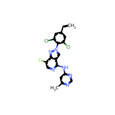 C=Cc1cc(Cl)c(-n2cc3c(Nc4cc(C)ncn4)ncc(F)c3n2)c(Cl)c1